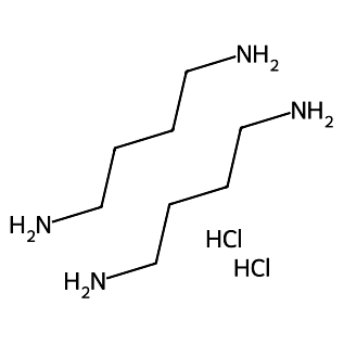 Cl.Cl.NCCCCN.NCCCCN